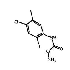 Cc1cc(NC(=O)ON)c(I)cc1Cl